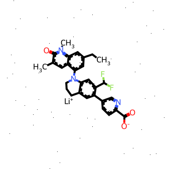 CCc1cc(N2CCCc3cc(-c4ccc(C(=O)[O-])nc4)c(C(F)F)cc32)c2cc(C)c(=O)n(C)c2c1.[Li+]